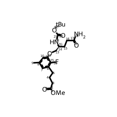 COC(=O)CCCc1cc(C)cc(OC[C@H](CCC(N)=O)NC(=O)OC(C)(C)C)c1F